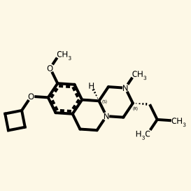 COc1cc2c(cc1OC1CCC1)CCN1C[C@@H](CC(C)C)N(C)C[C@H]21